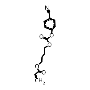 C=CC(=O)OCCCCOC(=O)Oc1ccc(C#N)cc1